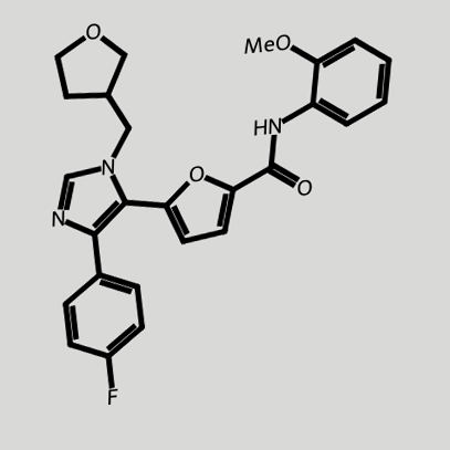 COc1ccccc1NC(=O)c1ccc(-c2c(-c3ccc(F)cc3)ncn2CC2CCOC2)o1